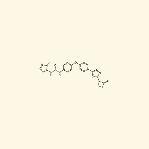 Cn1nccc1NC(=O)Nc1ccc(Oc2ccc(-c3cnc(N4CCC4=O)s3)cc2)nc1